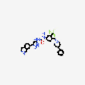 Cn1nc(NC(=O)Nc2ccc(CN3CCC(c4ccccc4)CC3)c(C(F)(F)F)c2)cc1-c1ccc2ccncc2c1